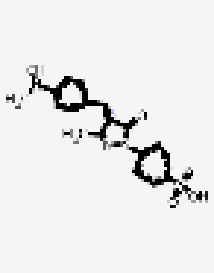 CC1=NN(c2ccc(S(=O)(=O)O)cc2)C(=O)/C1=C/c1ccc(N(C)C)cc1